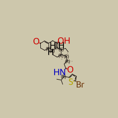 CC(C)[C@@H](NC(=O)C[C@@H](C)[C@H]1CC[C@H]2[C@@H]3[C@H](O)CC4=CC(=O)CC[C@]4(C)[C@H]3CC[C@]12C)c1ccc(Br)s1